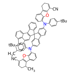 CC1C=CC2=C(C1)c1cccc3c4c(cc2c13)C1(c2cc(N(c3ccc(C(C)(C)C)cc3)c3cccc5c6c(oc35)C(C#N)=CCC6)ccc2-c2ccc(N(c3ccc(C(C)(C)C)cc3)c3cccc5c6c(oc35)C(C#N)=CCC6C)cc21)c1ccccc1-4